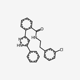 O=C(NCCc1cccc(Cl)c1)c1ccccc1-c1cc(-c2ccccc2)[nH]n1